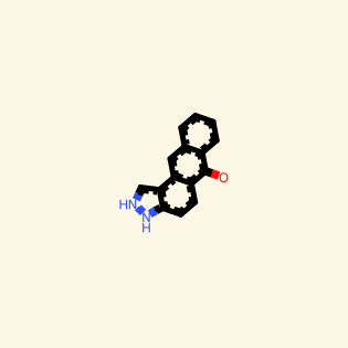 O=c1c2ccccc2cc2c1ccc1[nH][nH]cc12